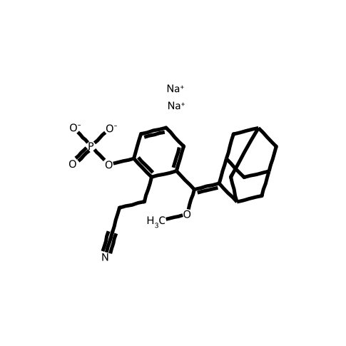 COC(=C1C2CC3CC(C2)CC1C3)c1cccc(OP(=O)([O-])[O-])c1CCC#N.[Na+].[Na+]